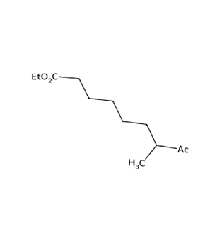 CCOC(=O)CCCCCC(C)C(C)=O